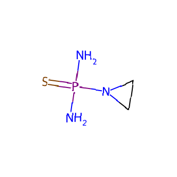 NP(N)(=S)N1CC1